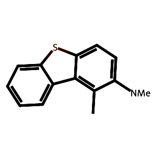 CNc1ccc2sc3ccccc3c2c1C